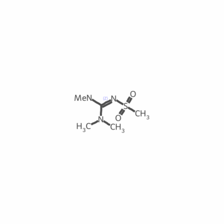 CN/C(=N/S(C)(=O)=O)N(C)C